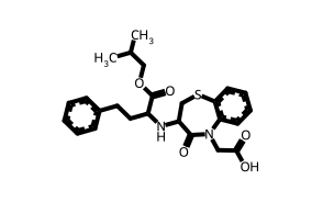 CC(C)COC(=O)C(CCc1ccccc1)NC1CSc2ccccc2N(CC(=O)O)C1=O